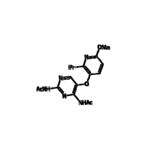 COc1ccc(Oc2cnc(NC(C)=O)nc2NC(C)=O)c(C(C)C)n1